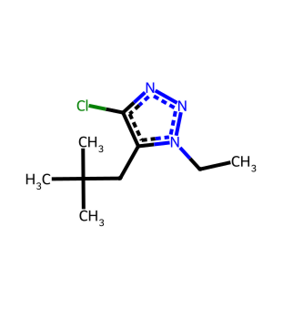 CCn1nnc(Cl)c1CC(C)(C)C